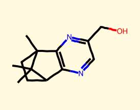 CC12CCC(c3ncc(CO)nc31)C2(C)C